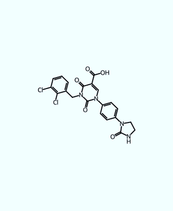 O=C(O)c1cn(-c2ccc(N3CCNC3=O)cc2)c(=O)n(Cc2cccc(Cl)c2Cl)c1=O